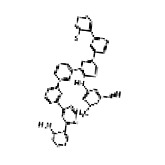 CC1C=C(Nc2ccc(-c3cccc(-c4ccccc4S)c3)cc2-c2cccc(-c3cccc(-c4cccc(-c5ccccc5N)c4)c3)c2)C=C(C#N)C1